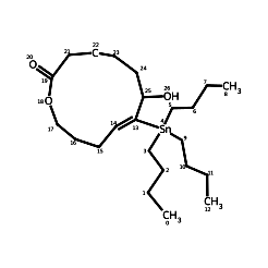 CCC[CH2][Sn]([CH2]CCC)([CH2]CCC)/[C]1=C\CCCOC(=O)CCCCC1O